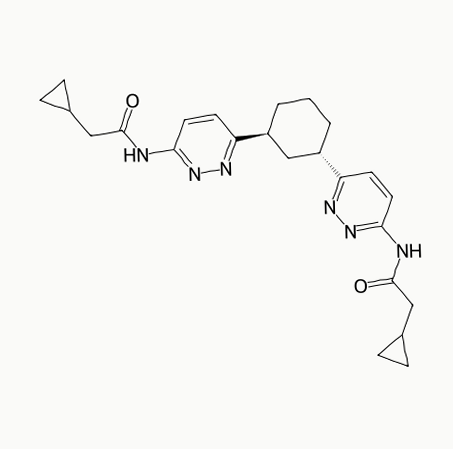 O=C(CC1CC1)Nc1ccc([C@H]2CCC[C@H](c3ccc(NC(=O)CC4CC4)nn3)C2)nn1